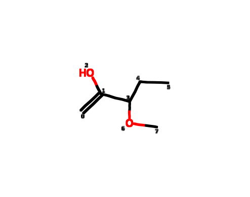 C=C(O)C(CC)OC